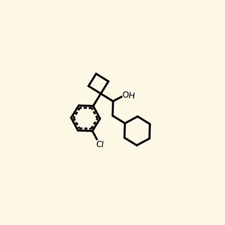 OC(CC1CCCCC1)C1(c2cccc(Cl)c2)CCC1